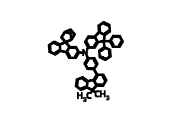 CC1(C)c2ccccc2-c2c(-c3ccc(N(c4ccc5c(c4)C(c4ccccc4)(c4ccccc4)c4ccccc4-5)c4ccc5c(c4)C4(CC6CCC4C6)c4ccccc4-5)cc3)cccc21